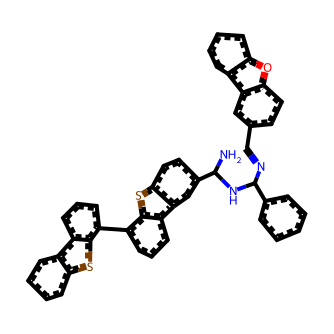 NC(NC(/N=C/c1ccc2oc3ccccc3c2c1)c1ccccc1)c1ccc2sc3c(-c4cccc5c4sc4ccccc45)cccc3c2c1